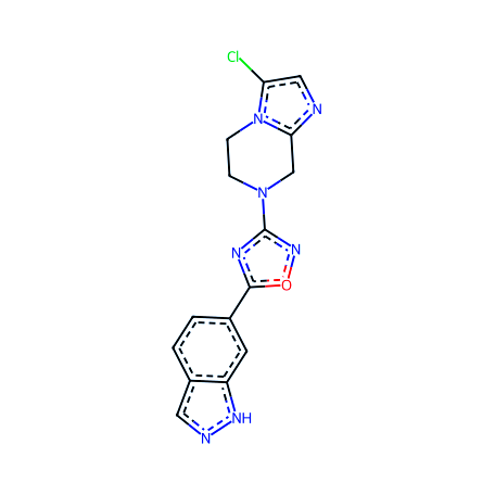 Clc1cnc2n1CCN(c1noc(-c3ccc4cn[nH]c4c3)n1)C2